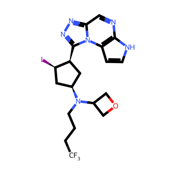 FC(F)(F)CCCN(C1COC1)[C@H]1C[C@@H](I)[C@@H](c2nnc3cnc4[nH]ccc4n23)C1